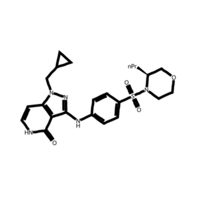 CCC[C@H]1COCCN1S(=O)(=O)c1ccc(Nc2nn(CC3CC3)c3cc[nH]c(=O)c23)cc1